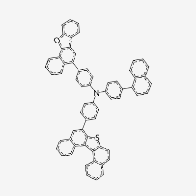 c1ccc2c(-c3ccc(N(c4ccc(-c5cc6c7ccccc7oc6c6ccccc56)cc4)c4ccc(-c5cc6ccccc6c6c5sc5ccc7ccccc7c56)cc4)cc3)cccc2c1